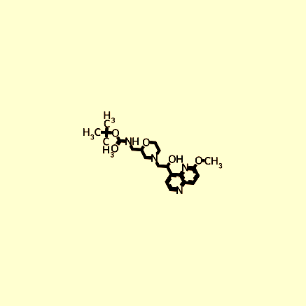 COc1ccc2nccc(C(O)CN3CCOC(CNC(=O)OC(C)(C)C)C3)c2n1